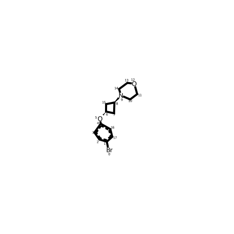 Brc1ccc(O[C@H]2C[C@H](N3CCOCC3)C2)cc1